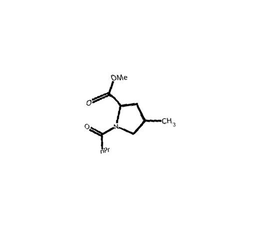 CCCC(=O)N1CC(C)CC1C(=O)OC